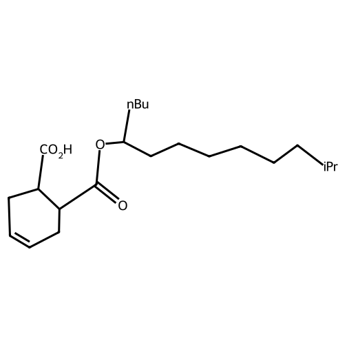 CCCCC(CCCCCCC(C)C)OC(=O)C1CC=CCC1C(=O)O